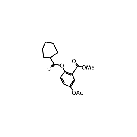 COC(=O)c1cc(OC(C)=O)ccc1OC(=O)C1CCCCC1